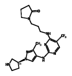 Cc1nn([C@H]2CCNC2)cc1Nc1ncc(C(F)(F)F)c(NCCCN2CCCC2=O)n1